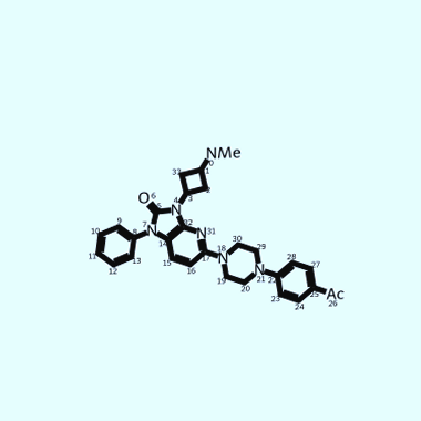 CNC1CC(n2c(=O)n(-c3ccccc3)c3ccc(N4CCN(c5ccc(C(C)=O)cc5)CC4)nc32)C1